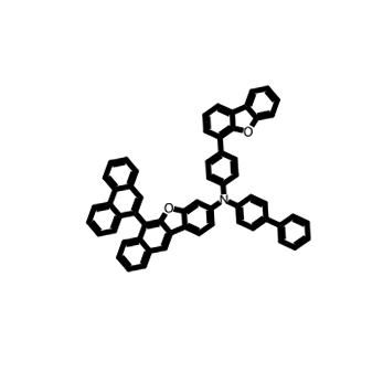 c1ccc(-c2ccc(N(c3ccc(-c4cccc5c4oc4ccccc45)cc3)c3ccc4c(c3)oc3c(-c5cc6ccccc6c6ccccc56)c5ccccc5cc34)cc2)cc1